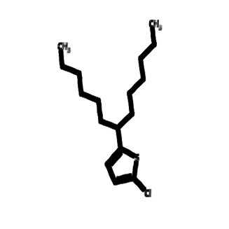 CCCCCCC(CCCCCC)c1ccc(Cl)s1